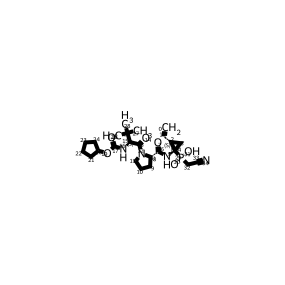 C=C[C@@H]1C[C@]1(NC(=O)[C@@H]1CCCN1C(=O)[C@@H](NC(=O)OC1CCCC1)C(C)(C)C)P(=O)(O)CC#N